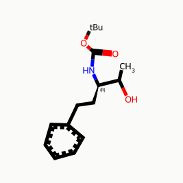 CC(O)[C@@H](CCc1ccccc1)NC(=O)OC(C)(C)C